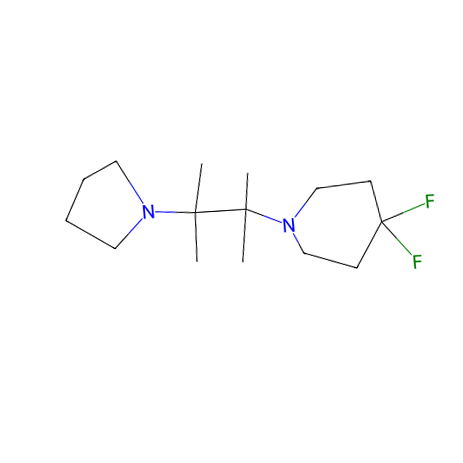 CC(C)(N1CCCC1)C(C)(C)N1CCC(F)(F)CC1